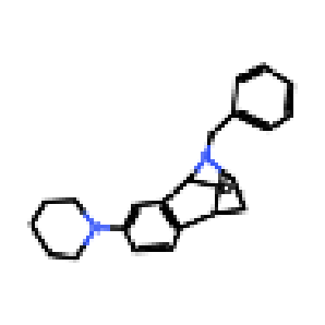 C[C@H]1C2CCN(Cc3ccccc3)C1c1cc(N3CCCCC3)ccc12